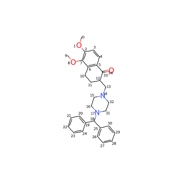 COc1ccc2c(c1OC)CCC(CN1CCN(C(c3ccccc3)c3ccccc3)CC1)C2=O